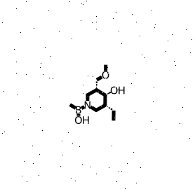 CC[C@@H]1CN(B(C)O)C[C@H](COC)[C@@H]1O